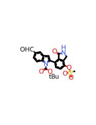 CC(C)(C)OC(=O)n1c(-c2ccc(OS(C)(=O)=O)c3c2C(=O)NC3)cc2cc(C=O)ccc21